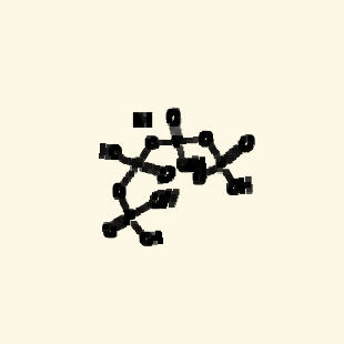 O=P(O)(O)OP(=O)(O)OP(=O)(O)OP(=O)(O)O.[KH]